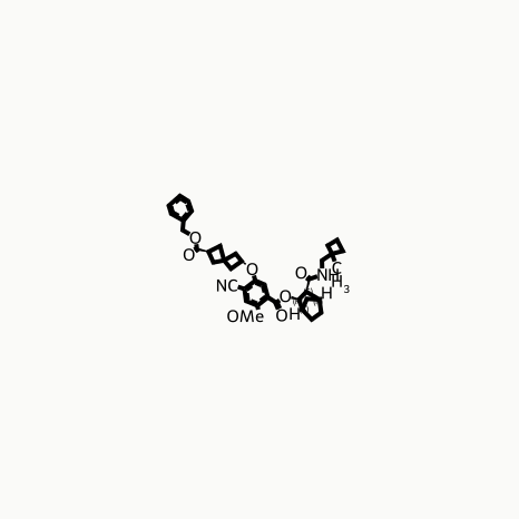 COc1cc(C#N)c(O[C@H]2CC3(C2)C[C@H](C(=O)OCc2ccccc2)C3)cc1C(=O)O[C@@H]1[C@H]2CC[C@H](C2)[C@@H]1C(=O)NCC1(C)CCC1